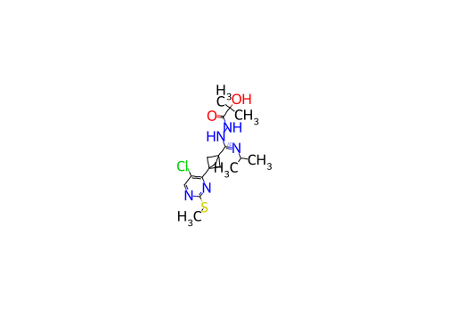 CSc1ncc(Cl)c(C23CC(/C(=N\C(C)C)NNC(=O)C(C)(C)O)(C2)C3)n1